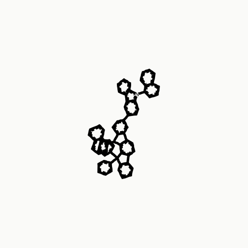 c1ccc(C2(c3ccccc3)c3ccccc3-c3ccc4c(c32)C(c2cccc3ccccc23)c2ccc(-c3ccc5c(c3)c3ccccc3n5-c3cccc5ccccc35)cc2-4)cc1